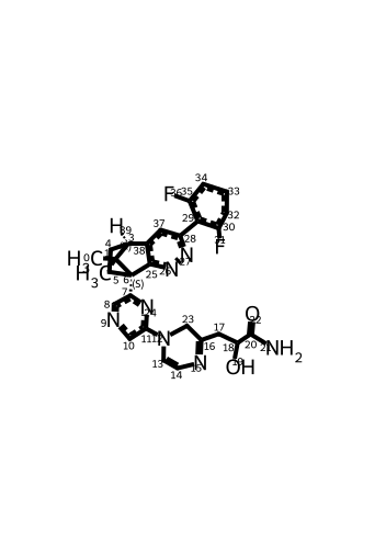 CC1(C)[C@H]2CC[C@]1(c1cncc(N3C=CN=C(CC(O)C(N)=O)C3)n1)c1nnc(-c3c(F)cccc3F)cc12